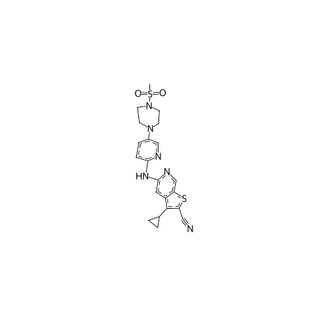 CS(=O)(=O)N1CCN(c2ccc(Nc3cc4c(C5CC5)c(C#N)sc4cn3)nc2)CC1